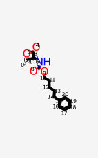 C[C@@H]1OC(=O)[C@H]1NC(=O)OCCCCCc1ccccc1